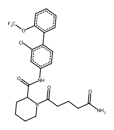 NC(=O)CCCC(=O)N1CCCCC1C(=O)Nc1ccc(-c2ccccc2OC(F)(F)F)c(Cl)c1